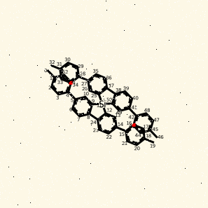 Cc1ccc(-c2ccc3c(c2)[Si]2(c4cc(-c5ccc(C)cc5)ccc4-3)c3cc(-c4ccc(C)cc4)ccc3-c3ccc(-c4ccc(C)cc4)cc32)cc1